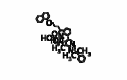 Cc1c(-c2cccc3c(CCCOc4cccc5ccccc45)c(OC(=O)O)[nH]c23)cn2cc(C(C)(C)c3ccccc3)nc2c1C